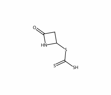 O=C1CC(SC(=S)S)N1